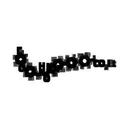 CCOC(=O)C[C@H]1CC[C@H](c2ccc(-c3ccc4nc(C(=O)NCc5ccc(Oc6ccc(F)cc6)cc5)cn4c3)cc2)CC1